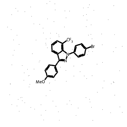 COc1ccc(-c2nn(-c3ccc(Br)cc3)c3c(C(F)(F)F)cccc23)cc1